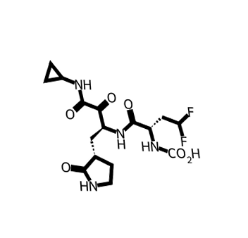 O=C(O)N[C@@H](CC(F)F)C(=O)N[C@@H](C[C@@H]1CCNC1=O)C(=O)C(=O)NC1CC1